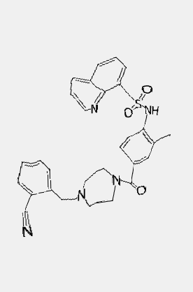 Cc1cc(C(=O)N2CCN(Cc3ccccc3C#N)CC2)ccc1NS(=O)(=O)c1cccc2cccnc12